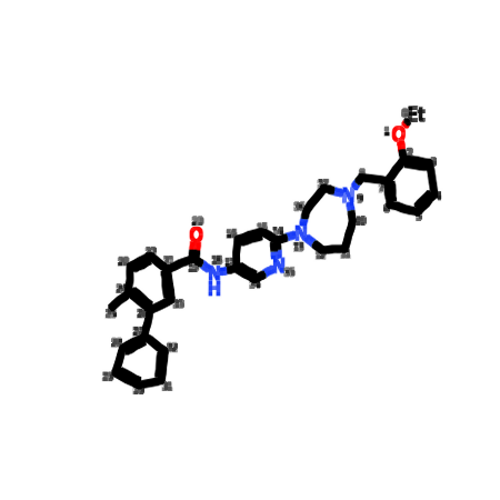 CCOc1ccccc1CN1CCCN(c2ccc(NC(=O)c3ccc(C)c(-c4ccccc4)c3)cn2)CC1